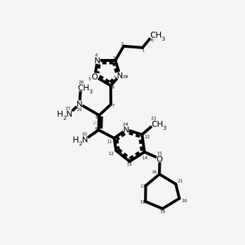 CCCc1noc(C/C(=C(/N)c2ccc(OC3CCCCC3)c(C)n2)N(C)N)n1